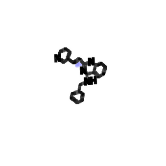 C(=C\c1nc(NCc2ccccc2)c2ccccc2n1)/c1cccnc1